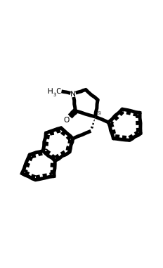 CN1CC[C@@](Cc2ccc3ccccc3c2)(c2ccccc2)C1=O